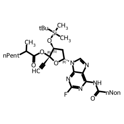 C#C[C@]1(OC(=O)C(C)CCCCC)O[C@@H](n2cnc3c(NC(=O)CCCCCCCCC)nc(F)nc32)C[C@@H]1O[Si](C)(C)C(C)(C)C